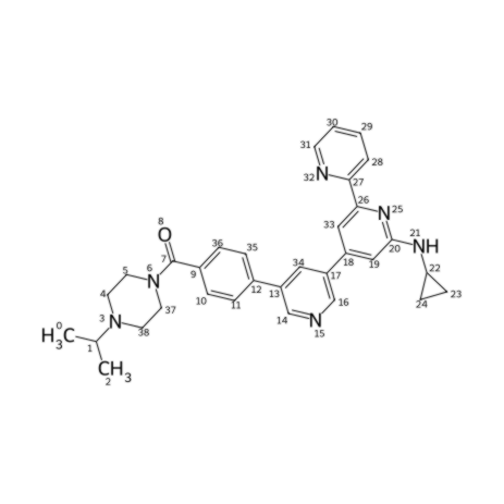 CC(C)N1CCN(C(=O)c2ccc(-c3cncc(-c4cc(NC5CC5)nc(-c5ccccn5)c4)c3)cc2)CC1